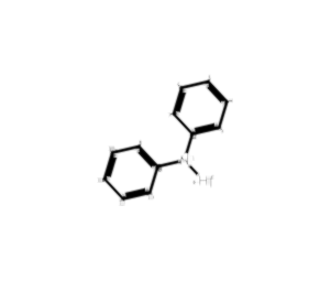 [Hf][N](c1ccccc1)c1ccccc1